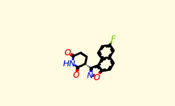 O=C1CC[C@H](c2noc3ccc4cc(F)ccc4c23)C(=O)N1